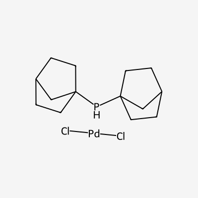 C1CC2(PC34CCC(CC3)C4)CCC1C2.[Cl][Pd][Cl]